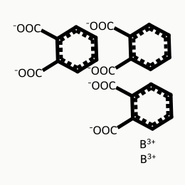 O=C([O-])c1ccccc1C(=O)[O-].O=C([O-])c1ccccc1C(=O)[O-].O=C([O-])c1ccccc1C(=O)[O-].[B+3].[B+3]